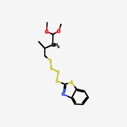 COC(OC)[SiH2]C(C)CSSSSc1nc2ccccc2s1